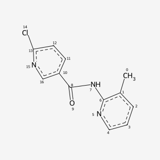 Cc1cccnc1NC(=O)c1ccc(Cl)nc1